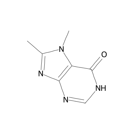 Cc1nc2nc[nH]c(=O)c2n1C